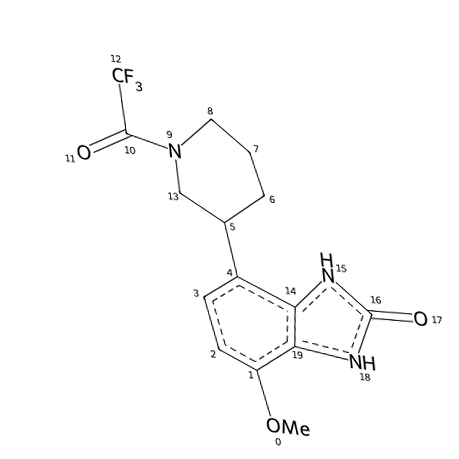 COc1ccc(C2CCCN(C(=O)C(F)(F)F)C2)c2[nH]c(=O)[nH]c12